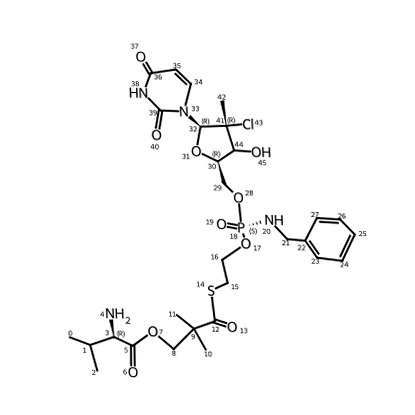 CC(C)[C@@H](N)C(=O)OCC(C)(C)C(=O)SCCO[P@](=O)(NCc1ccccc1)OC[C@H]1O[C@@H](n2ccc(=O)[nH]c2=O)[C@](C)(Cl)C1O